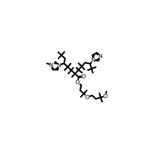 COC(C)(C)CCOC(C)(C)CCOC(=O)C(C)(C(C)(C)C(C)(C)CC(n1ccnc1)C(C)(C)C)C(C)(C)C(C)(C)C(CC(C)(C)C)n1cc[n+](C)c1